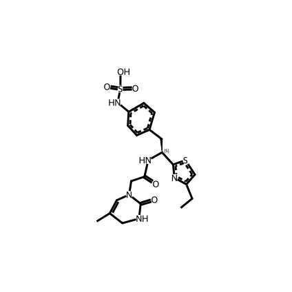 CCc1csc([C@H](Cc2ccc(NS(=O)(=O)O)cc2)NC(=O)CN2C=C(C)CNC2=O)n1